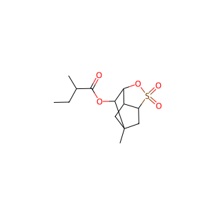 CCC(C)C(=O)OC1C2OS(=O)(=O)C3CC1(C)CC23